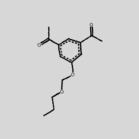 CCCOCOc1cc(C(C)=O)cc(C(C)=O)c1